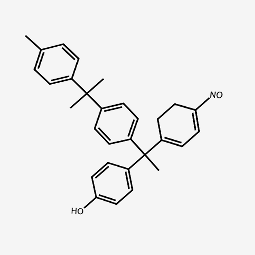 Cc1ccc(C(C)(C)c2ccc(C(C)(C3=CC=C(N=O)CC3)c3ccc(O)cc3)cc2)cc1